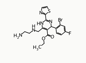 CCOC(=O)C1=C(CNCCN)NC(c2nccs2)=NC1c1ccc(F)cc1Br